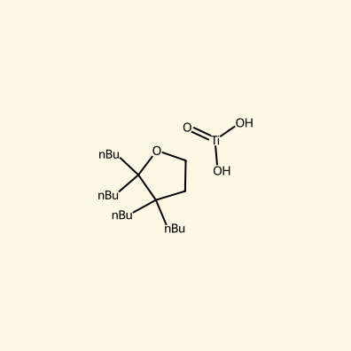 CCCCC1(CCCC)CCOC1(CCCC)CCCC.[O]=[Ti]([OH])[OH]